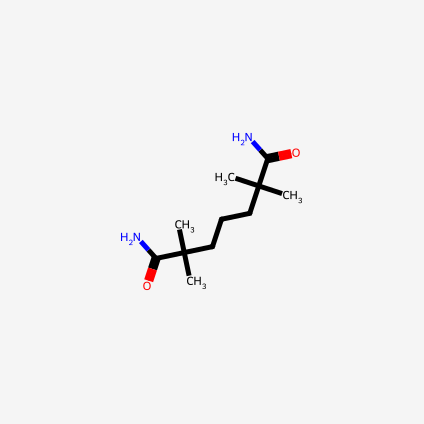 CC(C)(CCCC(C)(C)C(N)=O)C(N)=O